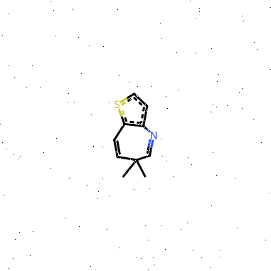 CC1(C)C=Cc2sccc2N=C1